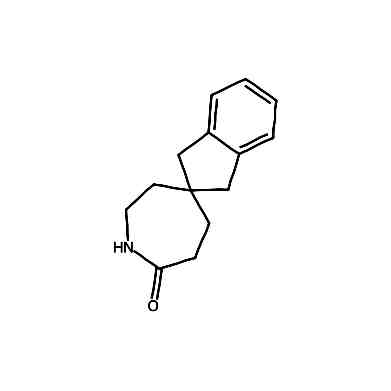 O=C1CCC2(CCN1)Cc1ccccc1C2